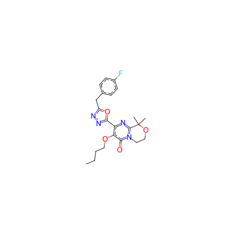 CCCCOc1c(-c2nnc(Cc3ccc(F)cc3)o2)nc2n(c1=O)CCOC2(C)C